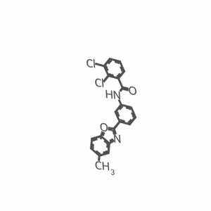 Cc1ccc2oc(-c3cccc(NC(=O)c4cccc(Cl)c4Cl)c3)nc2c1